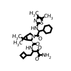 Cc1nc(N[C@H](C(=O)N2CC3C([C@H]2C(=O)NC(CC2CCC2)C(=O)C(N)=O)C3(C)C)C2CCCCC2)sc1C